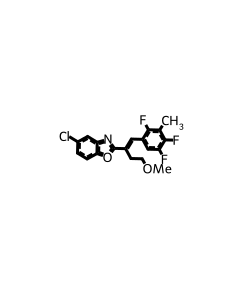 COCCC(=Cc1cc(F)c(F)c(C)c1F)c1nc2cc(Cl)ccc2o1